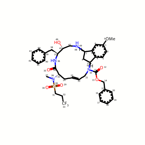 COc1ccc2c(c1)[C@@H]1C[C@H]2N(C(=O)OCc2ccccc2)C/C=C/C[C@H](N(C)S(=O)(=O)CCC(F)(F)F)C(=O)N[C@@H](Cc2ccccc2)[C@H](O)CN1